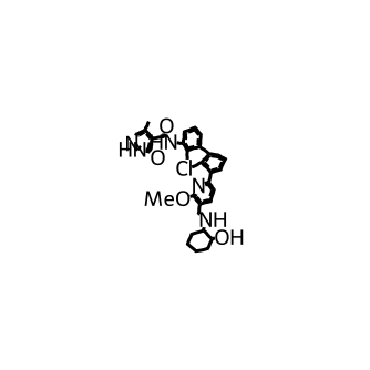 COc1nc(-c2cccc(-c3cccc(NC(=O)c4c(C)cn[nH]c4=O)c3C)c2Cl)ccc1CNC1CCCCC1O